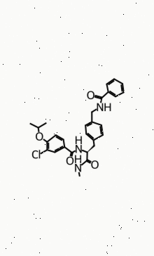 CNC(=O)[C@H](Cc1ccc(CNC(=O)c2ccccc2)cc1)NC(=O)c1ccc(OC(C)C)c(Cl)c1